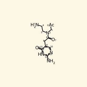 CC(=O)CN(CCN)C(=O)Cc1cnc(N)[nH]c1=O